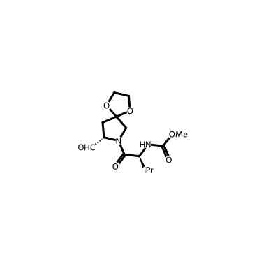 COC(=O)N[C@H](C(=O)N1CC2(C[C@H]1C=O)OCCO2)C(C)C